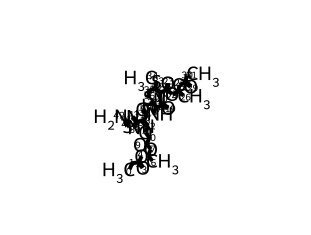 CCC(=O)OC(C)OC(=O)CON=C(C(=O)NC1C(=O)N2C(C(=O)OC(C)OC(=O)CC)=C(SC)CS[C@@H]12)c1nsc(N)n1